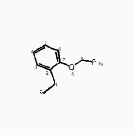 CCc1ccccc1OCF